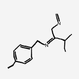 C=NC/C(=N\Cc1ccc(C)cc1)C(C)C